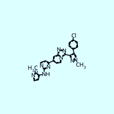 Cn1cc(-c2ccc(Cl)cc2)c(-c2nnc3cc(-c4ccnc(Nc5ccnn5C)n4)ccn23)n1